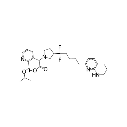 CC(C)OCc1ncccc1C(C(=O)O)N1CC[C@@H](C(F)(F)CCCCc2ccc3c(n2)NCCC3)C1